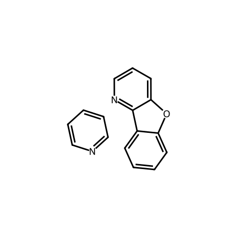 c1ccc2c(c1)oc1cccnc12.c1ccncc1